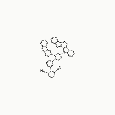 N#Cc1cccc(C#N)c1-c1cccc(-c2ccc(-n3c4ccccc4c4ccc5c6ccccc6sc5c43)cc2-c2ccc3sc4ccccc4c3c2)c1